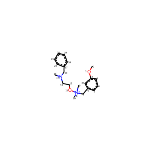 COc1cccc(C[N+](C)(C)OCCN(C)Cc2ccccc2)c1